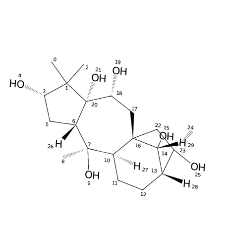 CC1(C)[C@@H](O)C[C@H]2[C@](C)(O)[C@@H]3CC[C@@H]4[C@@H](O)[C@@]3(C[C@@H](O)[C@@]21O)C[C@@]4(C)O